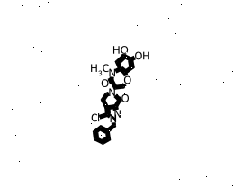 CN1C(=O)[C@@H](N2CCc3c(nn(Cc4ccccc4)c3Cl)C2=O)COc2cc(O)c(O)cc21